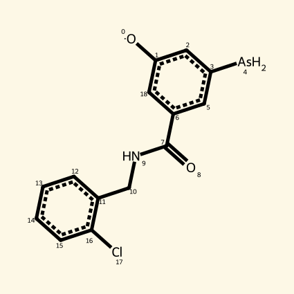 [O]c1cc([AsH2])cc(C(=O)NCc2ccccc2Cl)c1